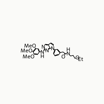 CCOCCCNC(=O)Cc1cccc(-n2ccc3cnc(Nc4cc(OC)c(OC)c(OC)c4)nc32)c1